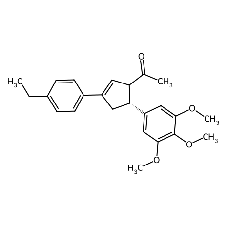 CCc1ccc(C2=CC(C(C)=O)[C@H](c3cc(OC)c(OC)c(OC)c3)C2)cc1